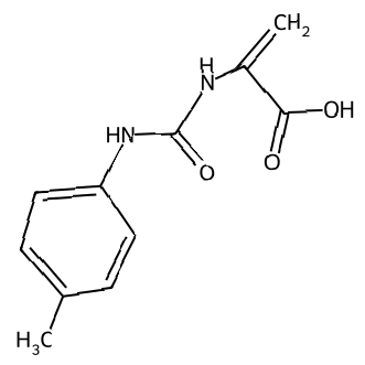 C=C(NC(=O)Nc1ccc(C)cc1)C(=O)O